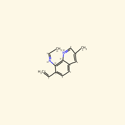 C=Cc1ccc2cc(C)cnc2c1/N=C\C